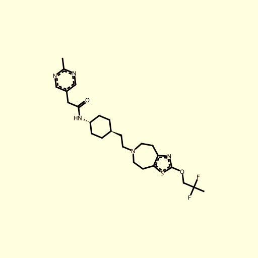 Cc1ncc(CC(=O)N[C@H]2CC[C@H](CCN3CCc4nc(OCC(C)(F)F)sc4CC3)CC2)cn1